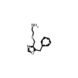 NCCSCc1ncoc1Cc1ccccc1